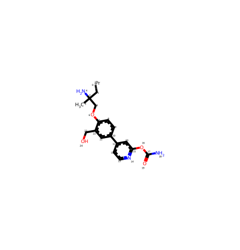 CC(C)CC(C)(N)COc1ccc(-c2ccnc(OC(N)=O)c2)cc1CO